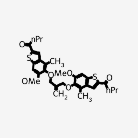 C=C(COc1c(OC)cc2sc(C(=O)CCC)cc2c1C)COc1c(OC)cc2sc(C(=O)CCC)cc2c1C